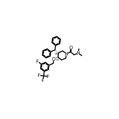 CN(C)CC(=O)N1CC[C@H](OCc2cc(F)cc(C(F)(F)F)c2)[C@H](C(c2ccccc2)c2ccccc2)C1